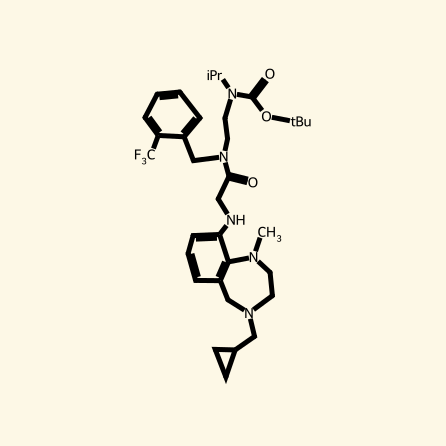 CC(C)N(CCN(Cc1ccccc1C(F)(F)F)C(=O)CNc1cccc2c1N(C)CCN(CC1CC1)C2)C(=O)OC(C)(C)C